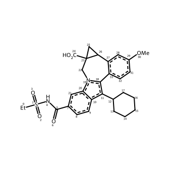 CCS(=O)(=O)NC(=O)c1ccc2c(C3CCCCC3)c3n(c2c1)CC1(C(=O)O)CC1c1cc(OC)ccc1-3